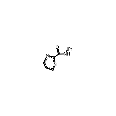 CC(C)NC(=O)c1ncccn1